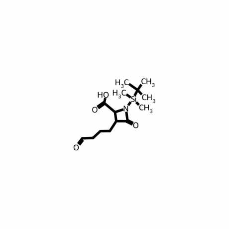 CC(C)(C)[Si](C)(C)N1C(=O)C(CCCC=O)C1C(=O)O